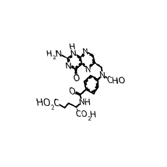 Nc1nc(=O)c2nc(CN(C=O)c3ccc(C(=O)N[C@@H](CCC(=O)O)C(=O)O)cc3)cnc2[nH]1